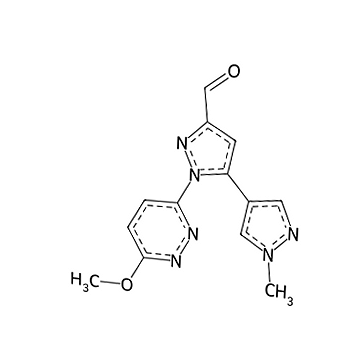 COc1ccc(-n2nc(C=O)cc2-c2cnn(C)c2)nn1